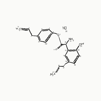 C=CCc1ccc(OC(=O)C(N)c2cc(CC=C)ccc2O)cc1.Cl